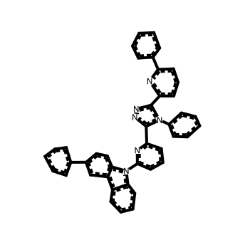 c1ccc(-c2ccc3c(c2)c2ccccc2n3-c2cccc(-c3nnc(-c4cccc(-c5ccccc5)n4)n3-c3ccccc3)n2)cc1